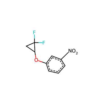 O=[N+]([O-])c1cccc(OC2CC2(F)F)c1